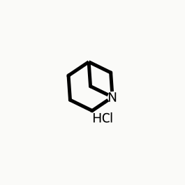 C1CC2CN(C1)C2.Cl